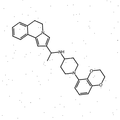 CC(NC1CCN(c2cccc3c2OCCO3)CC1)c1cc2n(c1)CCc1ccccc1-2